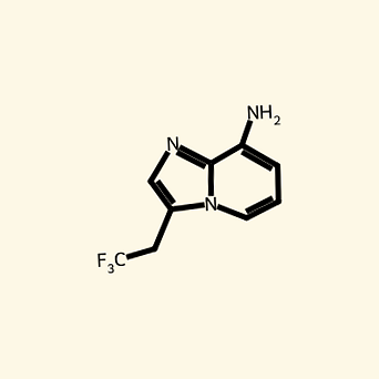 Nc1cccn2c(CC(F)(F)F)cnc12